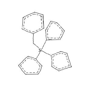 c1ccc(C[Si](c2ccccc2)(c2ccccc2)c2ccccc2)cc1